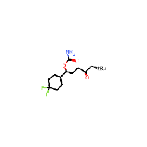 CC(C)(C)CC(=O)CCC(OC(N)=O)C1CCC(F)(F)CC1